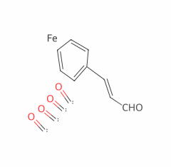 O=CC=Cc1ccccc1.[C]=O.[C]=O.[C]=O.[C]=O.[Fe]